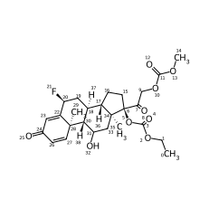 CCOC(=O)O[C@]1(C(=O)COC(=O)OC)CC[C@H]2[C@@H]3C[C@H](F)C4=CC(=O)C=C[C@]4(C)[C@H]3C(O)C[C@@]21C